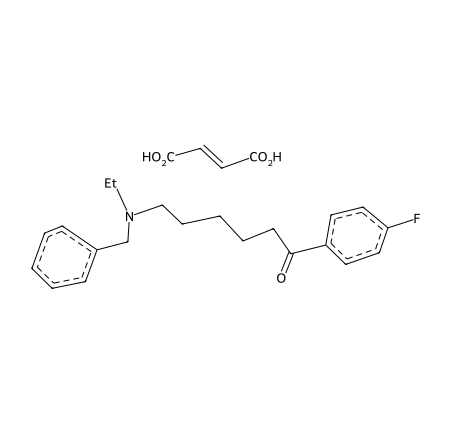 CCN(CCCCCC(=O)c1ccc(F)cc1)Cc1ccccc1.O=C(O)C=CC(=O)O